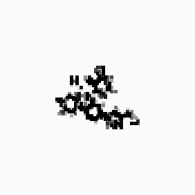 CN1CCN(c2ccc(-n3cc(C=O)nn3)cc2Nc2ncnc(Cl)c2N)CC1